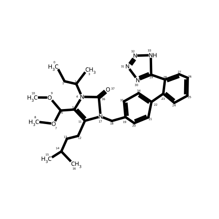 CCC(C)n1c(C(OC)OC)c(CCC(C)C)n(Cc2ccc(-c3ccccc3-c3nnn[nH]3)cc2)c1=O